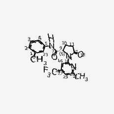 Cc1cccc(NC(=O)[C@@H]2CCC(=O)N2c2cc(C(F)(F)F)cc(C)n2)c1